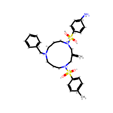 C=C1CN(S(=O)(=O)c2ccc(C)cc2)CCCN(Cc2ccccc2)CCCN(S(=O)(=O)c2ccc(N)cc2)C1